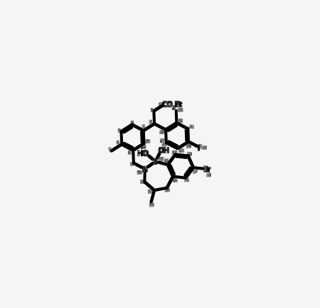 CCOC(=O)CC(c1ccc(C)c(CN2CC(C)Cc3cc(Br)ccc3S2(O)O)c1)c1ccc(F)cc1C